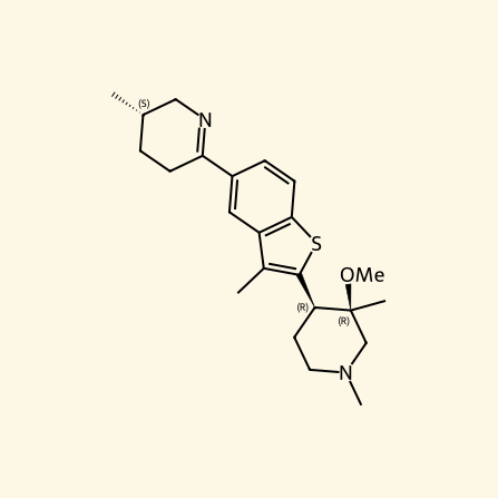 CO[C@@]1(C)CN(C)CC[C@H]1c1sc2ccc(C3=NC[C@@H](C)CC3)cc2c1C